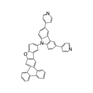 c1ccc2c(c1)c1ccccc1c1cc3c(cc21)oc1ccc(-n2c4ccc(-c5ccncc5)cc4c4cc(-c5ccncc5)ccc42)cc13